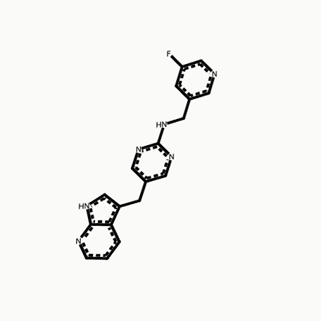 Fc1cncc(CNc2ncc(Cc3c[nH]c4ncccc34)cn2)c1